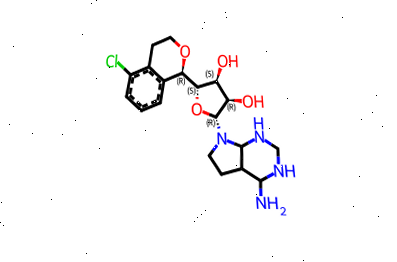 NC1NCNC2C1CCN2[C@@H]1O[C@H]([C@@H]2OCCc3c(Cl)cccc32)[C@@H](O)[C@H]1O